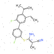 C=Cc1cc(-c2ccc(F)c(S/C(N)=C(\C)C#N)c2)c(F)cc1C(=C)C